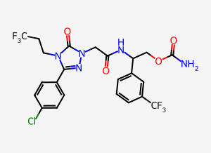 NC(=O)OCC(NC(=O)Cn1nc(-c2ccc(Cl)cc2)n(CCC(F)(F)F)c1=O)c1cccc(C(F)(F)F)c1